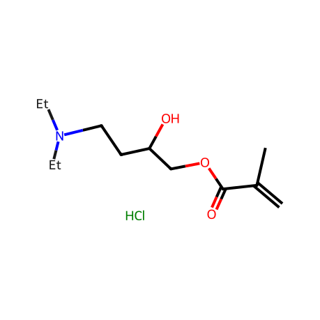 C=C(C)C(=O)OCC(O)CCN(CC)CC.Cl